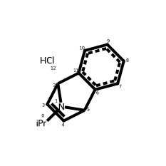 CC(C)N1C2C=CC1c1ccccc12.Cl